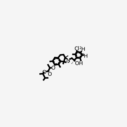 [2H]c1c([2H])c(Cl)c(C)c([C@@](C)(O)CN(C)[C@@]2(C)CCc3cc(C)c(OC(C)C(=O)OC(C)C(C)C)c(C)c3C2(C)C)c1C